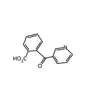 O=C(O)c1ccccc1C(=O)c1cccnc1